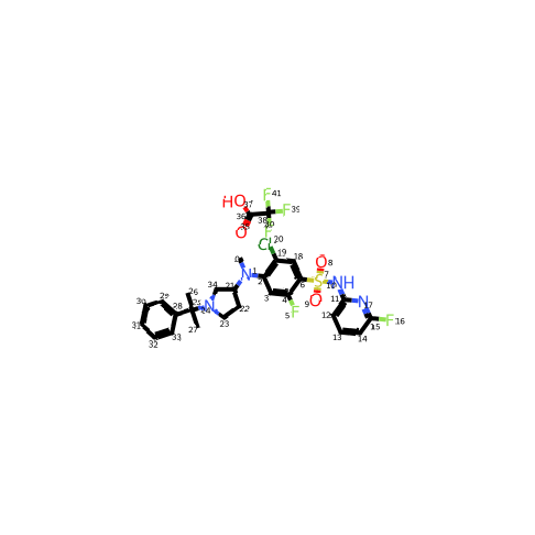 CN(c1cc(F)c(S(=O)(=O)Nc2cccc(F)n2)cc1Cl)C1CCN(C(C)(C)c2ccccc2)C1.O=C(O)C(F)(F)F